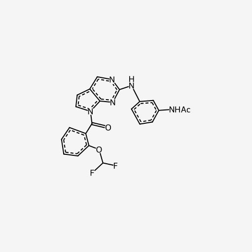 CC(=O)Nc1cccc(Nc2ncc3ccn(C(=O)c4ccccc4OC(F)F)c3n2)c1